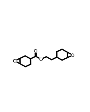 O=C(OCCC1CCC2OC2C1)C1CCC2OC2C1